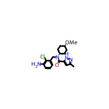 CO[C@H]1CC[C@H](N(Cc2cccc(N)c2Cl)C(=O)c2cc(C)n[nH]2)CC1